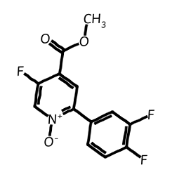 COC(=O)c1cc(-c2ccc(F)c(F)c2)[n+]([O-])cc1F